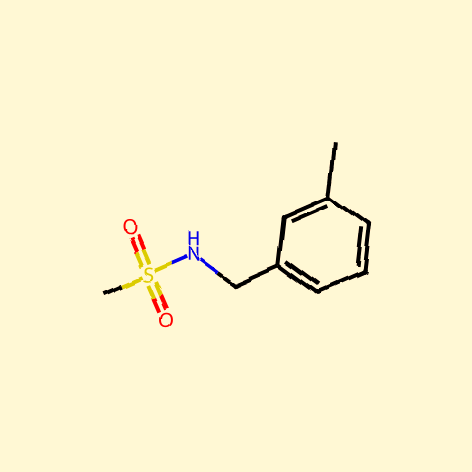 Cc1cccc(CNS(C)(=O)=O)c1